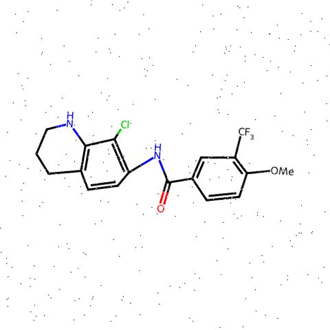 COc1ccc(C(=O)Nc2ccc3c(c2Cl)NCCC3)cc1C(F)(F)F